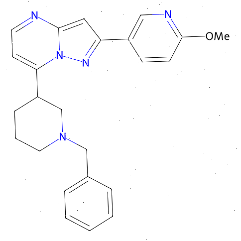 COc1ccc(-c2cc3nccc(C4CCCN(Cc5ccccc5)C4)n3n2)cn1